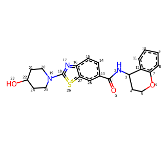 O=C(NC1CCOc2ccccc21)c1ccc2nc(N3CCC(O)CC3)sc2c1